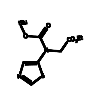 CCOC(=O)CN(C(=O)OC(C)(C)C)c1cncs1